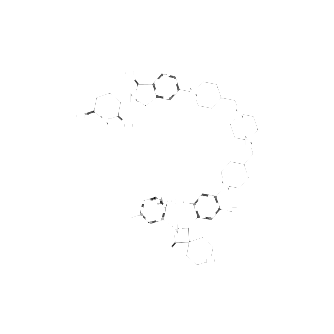 COc1cc(N2CCC(CN3CCN(CC4CCN(c5ccc6c(c5)CN([C@H]5CCC(=O)NC5=O)C6=O)CC4)CC3)CC2)c(F)cc1[C@@H]1N(c2cccc(F)c2)C(=O)C12CCOCC2